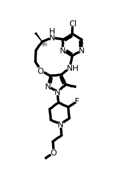 COCCN1CCC(n2nc3c(c2C)Nc2ncc(Cl)c(n2)N[C@H](C)CCO3)C(F)C1